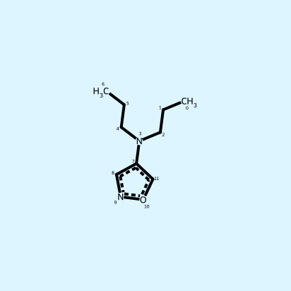 CCCN(CCC)c1[c]noc1